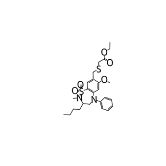 CCCCC1CN(c2ccccc2)c2cc(OC)c(CSCC(=O)OCC)cc2S(=O)(=O)N1C